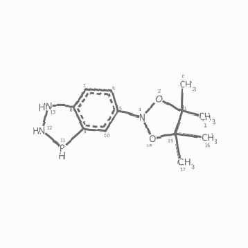 CC1(C)ON(c2ccc3c(c2)PNN3)OC1(C)C